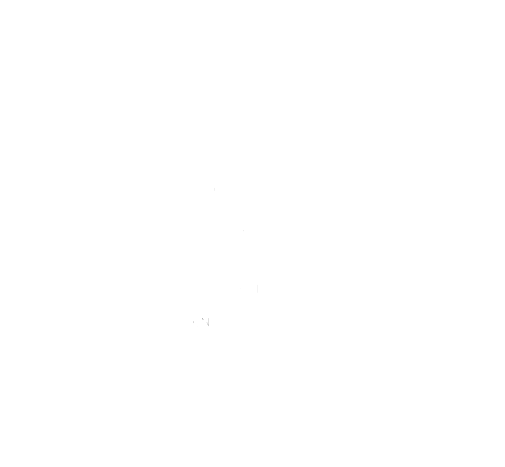 N#CCC(O)COC(=O)c1ccccc1